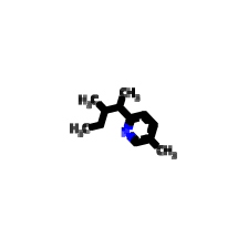 CCC(C)C(C)c1ccc(C)cn1